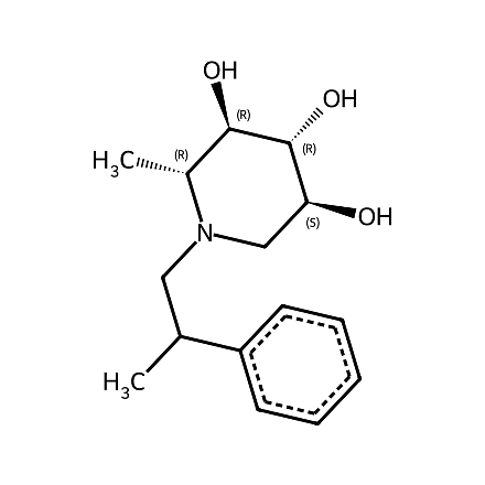 CC(CN1C[C@H](O)[C@@H](O)[C@H](O)[C@H]1C)c1ccccc1